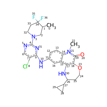 CC1CN(c2ncc(Cl)c(Nc3ccc4c(c3)c3c(c(=O)n4C)OCCC(C4CC4)N3)n2)CCC1(F)F